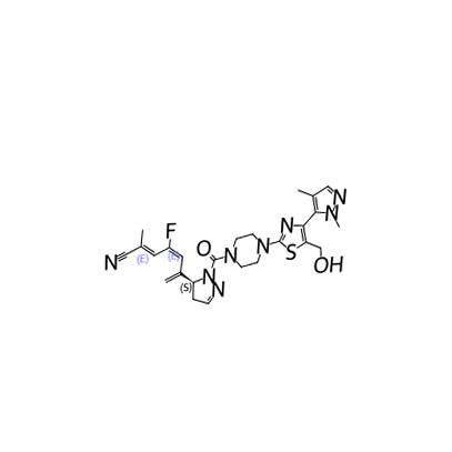 C=C(/C=C(F)\C=C(/C)C#N)[C@@H]1CC=NN1C(=O)N1CCN(c2nc(-c3c(C)cnn3C)c(CO)s2)CC1